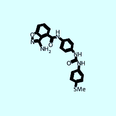 CSc1ccc(NC(=O)Nc2ccc(NC(=O)c3cccc4onc(N)c34)cc2)cc1